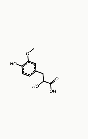 COc1cc(CC(O)C(=O)O)ccc1O